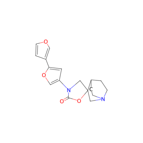 O=C1OC2(CN3CCC2CC3)CN1c1coc(-c2ccoc2)c1